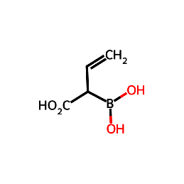 C=CC(B(O)O)C(=O)O